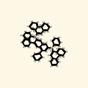 c1ccc(-c2cc3c(-c4ccccc4)cc(N(c4ccccc4)c4cc5ccccc5c5ccccc45)cc3cc2N(c2ccccc2)c2cc3ccccc3c3ccccc23)cc1